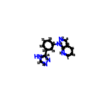 [c]1cnc2c(c1)cnn2-c1cccc(-c2nnc[nH]2)c1